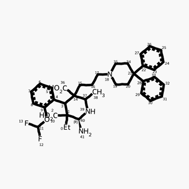 CCC1(C(=O)O)C(c2ccccc2OC(F)F)C(CCCN2CCC(c3ccccc3)(c3ccccc3)CC2)(C(=O)O)C(C)N[C@H]1N